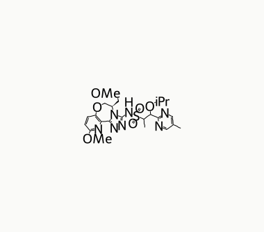 COC[C@@H]1COc2ccc(OC)nc2-c2nnc(NS(=O)(=O)C(C)C(OC(C)C)c3ncc(C)cn3)n21